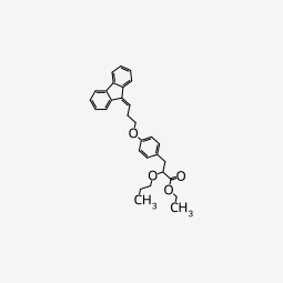 CCCOC(Cc1ccc(OCCC=C2c3ccccc3-c3ccccc32)cc1)C(=O)OCC